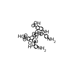 Nc1ccc(C(=O)Nc2ccc3cc(S(=O)O)cc(O)c3c2)cc1.Nc1cccc(C(=O)Nc2cc(S(=O)(=O)O)cc3cc(S(=O)(=O)O)cc(O)c23)c1